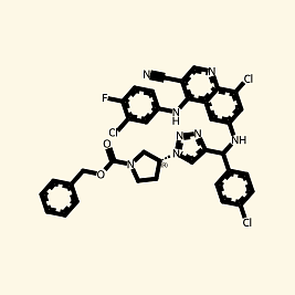 N#Cc1cnc2c(Cl)cc(NC(c3ccc(Cl)cc3)c3cn([C@@H]4CCN(C(=O)OCc5ccccc5)C4)nn3)cc2c1Nc1ccc(F)c(Cl)c1